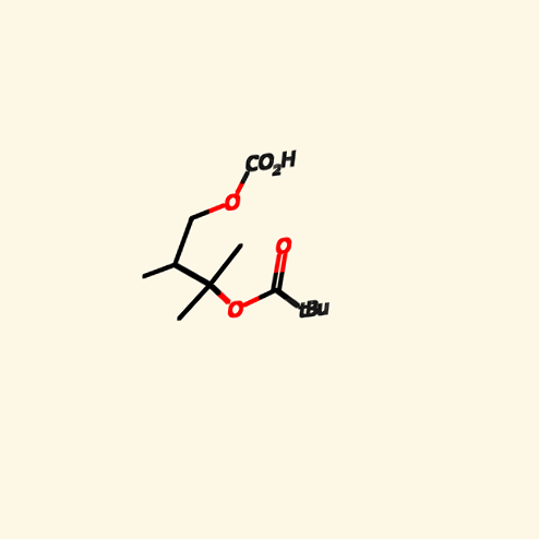 CC(COC(=O)O)C(C)(C)OC(=O)C(C)(C)C